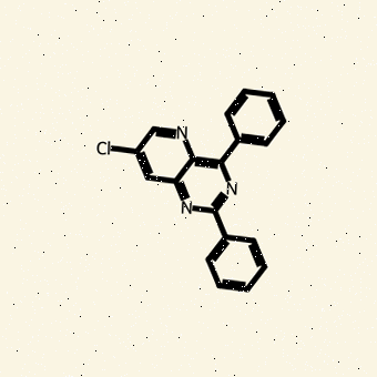 Clc1cnc2c(-c3ccccc3)nc(-c3ccccc3)nc2c1